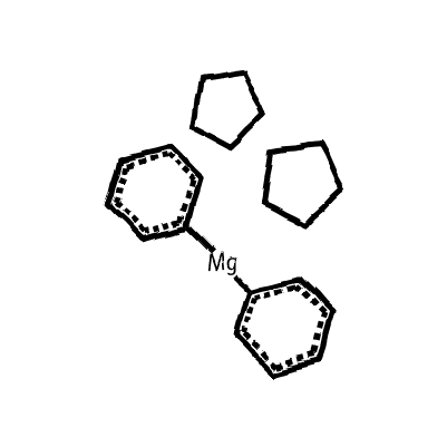 C1CCCC1.C1CCCC1.c1cc[c]([Mg][c]2ccccc2)cc1